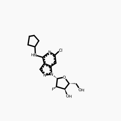 OC[C@H]1O[C@@H](n2ncc3c(NC4CCCC4)nc(Cl)cc32)[C@@H](F)[C@@H]1O